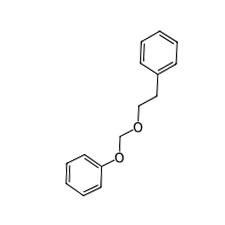 c1ccc(CCOCOc2ccccc2)cc1